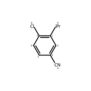 [CH2]C(C)c1cc(C#N)ccc1Cl